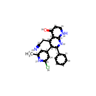 Cc1cc(-c2c(-c3ccccc3)nc3[nH]ccc(=O)c3c2CC#N)cc(Cl)n1